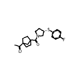 CC(=O)C12CCC(C(=O)N3CC[C@H](Sc4ccc(F)cc4)C3)(CC1)C2